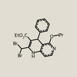 CCOC(=O)C1=C(C(Br)Br)Nc2ccnc(OC(C)C)c2C1c1ccccc1